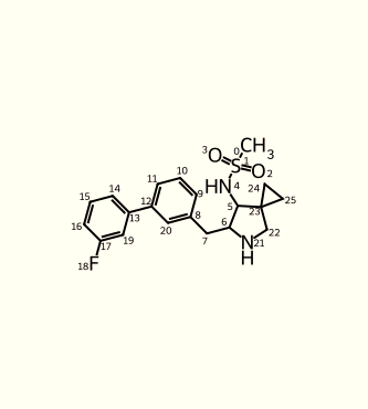 CS(=O)(=O)NC1C(Cc2cccc(-c3cccc(F)c3)c2)NCC12CC2